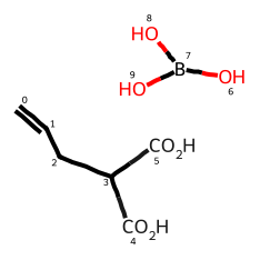 C=CCC(C(=O)O)C(=O)O.OB(O)O